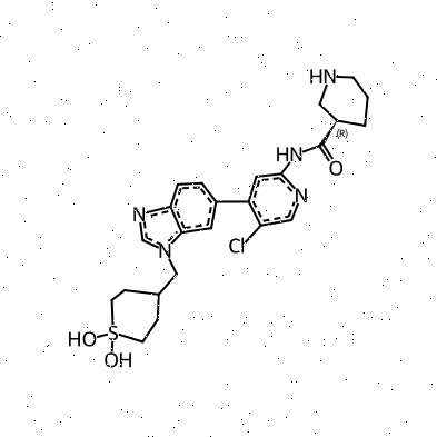 O=C(Nc1cc(-c2ccc3ncn(CC4CCS(O)(O)CC4)c3c2)c(Cl)cn1)[C@@H]1CCCNC1